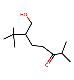 CC(C)C(=O)CCC(CO)C(C)(C)C